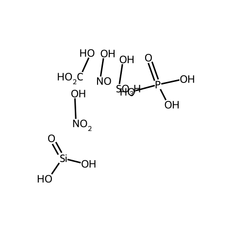 O=C(O)O.O=NO.O=P(O)(O)O.O=S(=O)(O)O.O=[N+]([O-])O.O=[Si](O)O